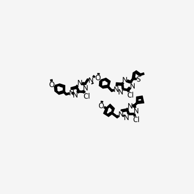 COc1ccc(Cn2cc3nc(-c4ccc(C)s4)nc(Cl)c3n2)cc1.COc1ccc(Cn2cc3nc(C4=CC=C4)nc(Cl)c3n2)cc1.COc1ccc(Cn2cc3nc(CN(C)C)nc(Cl)c3n2)cc1